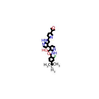 CC(C)(C)c1ccc(C(=O)Nc2nccc(-c3ccnc4[nH]c(-c5ccc(C6COC6)cn5)cc34)c2CO)c(F)c1